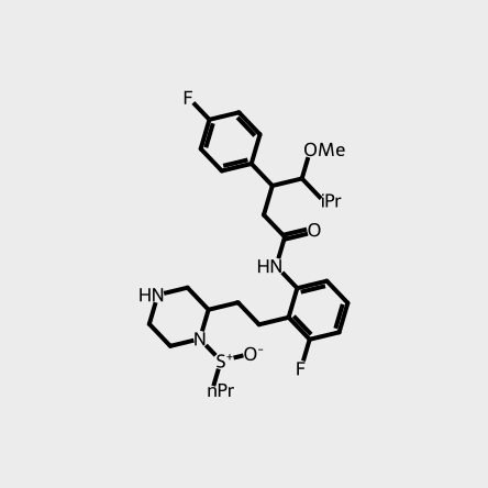 CCC[S+]([O-])N1CCNCC1CCc1c(F)cccc1NC(=O)CC(c1ccc(F)cc1)C(OC)C(C)C